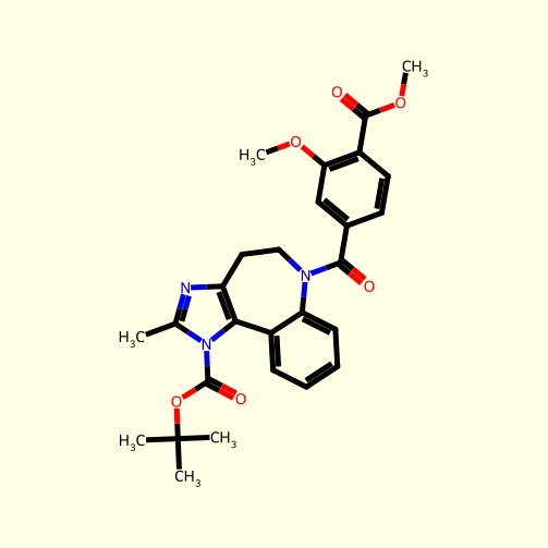 COC(=O)c1ccc(C(=O)N2CCc3nc(C)n(C(=O)OC(C)(C)C)c3-c3ccccc32)cc1OC